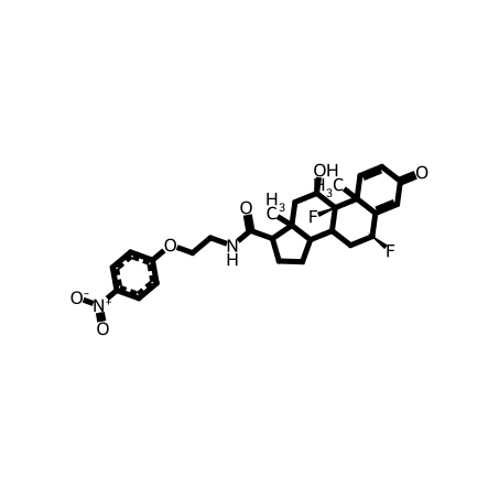 CC12CC(O)[C@@]3(F)C(C[C@H](F)C4=CC(=O)C=CC43C)C1CCC2C(=O)NCCOc1ccc([N+](=O)[O-])cc1